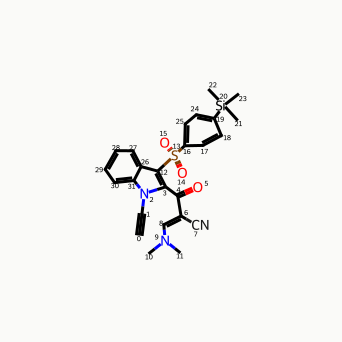 C#Cn1c(C(=O)C(C#N)=CN(C)C)c(S(=O)(=O)c2ccc([Si](C)(C)C)cc2)c2ccccc21